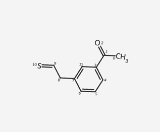 CC(=O)c1cccc(CC=S)c1